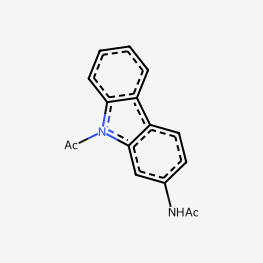 CC(=O)Nc1ccc2c3ccccc3n(C(C)=O)c2c1